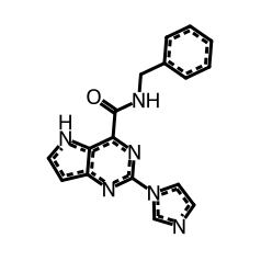 O=C(NCc1ccccc1)c1nc(-n2ccnc2)nc2cc[nH]c12